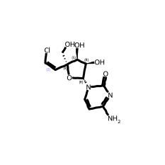 Nc1ccn([C@@H]2O[C@](/C=C\Cl)(CO)[C@@H](O)[C@H]2O)c(=O)n1